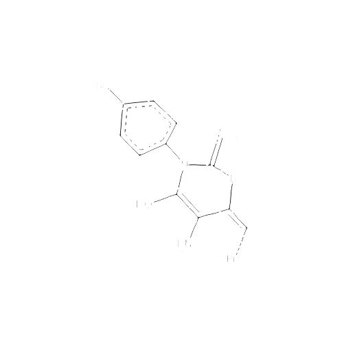 C=C1B/C(=C/CCC)C(N)=C(O)N1c1ccc(Br)cc1